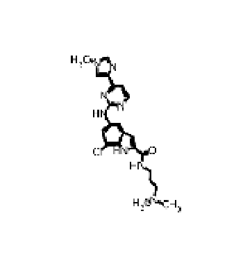 CN(C)CCCNC(=O)c1cc2cc(Nc3nccc(-c4cn(C)cn4)n3)cc(Cl)c2[nH]1